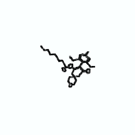 CCCCCCCC(=O)OC1=C(c2c(CC)cc(C)cc2CC)C(=O)CC2(CCOCC2)C1